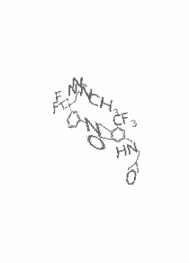 Cn1cnnc1CC1(c2cccc(N3Cc4c(cc(CNCC5COC5)cc4C(F)(F)F)C3=O)c2)CC(F)(F)C1